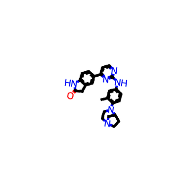 Cc1cc(Nc2nccc(-c3ccc4c(c3)CC(=O)N4)n2)ccc1N1CCN2CCC1C2